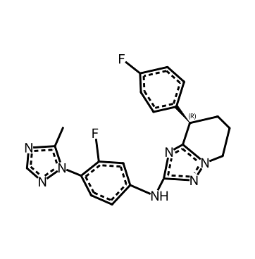 Cc1ncnn1-c1ccc(Nc2nc3n(n2)CCC[C@@H]3c2ccc(F)cc2)cc1F